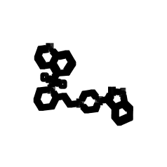 O=S(=O)(c1cccc2ncccc12)N1CCCCC1CCN1CCN(c2nsc3ccccc23)CC1